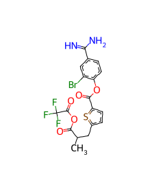 CC(Cc1ccc(C(=O)Oc2ccc(C(=N)N)cc2Br)s1)C(=O)OC(=O)C(F)(F)F